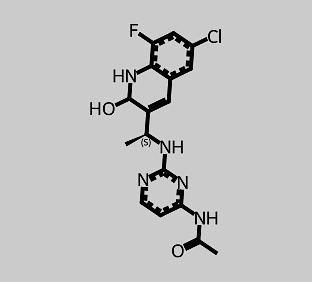 CC(=O)Nc1ccnc(N[C@@H](C)C2=Cc3cc(Cl)cc(F)c3NC2O)n1